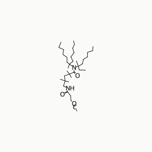 CCCCCCC(C)(CC)N(C(=O)C(C)(C)CC(C)(C)CNC(=O)CCOCC)C(C)(CCCCCC)CCCCCC